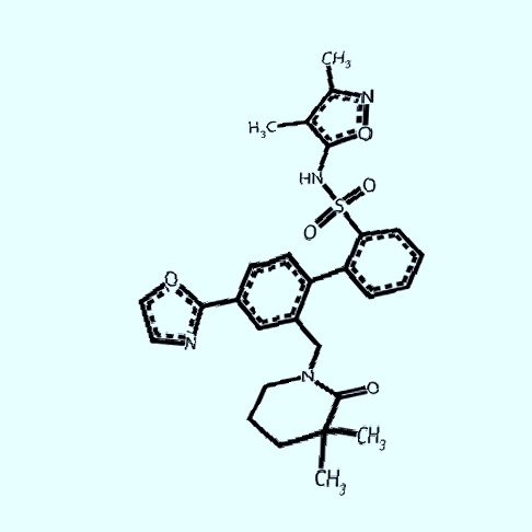 Cc1noc(NS(=O)(=O)c2ccccc2-c2ccc(-c3ncco3)cc2CN2CCCC(C)(C)C2=O)c1C